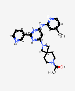 CC(=O)N1CCC2(CC1)CN(c1cc(Nc3cc(C)ccn3)nc(-c3cccnc3)n1)C2